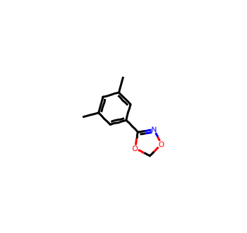 Cc1cc(C)cc(C2=NOCO2)c1